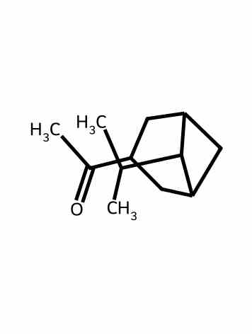 CC(=O)C1CC2CC(C1)C2C(C)C